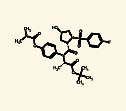 C[C@@H](C(=O)OC(C)(C)C)N(C(=O)[C@@H]1C[C@@H](O)CN1S(=O)(=O)c1ccc(F)cc1)c1ccc(OC(=O)N(C)C)cc1